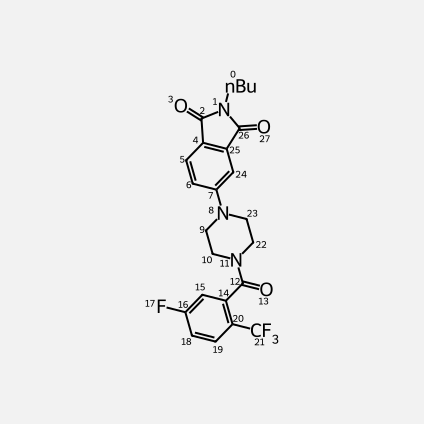 CCCCN1C(=O)c2ccc(N3CCN(C(=O)c4cc(F)ccc4C(F)(F)F)CC3)cc2C1=O